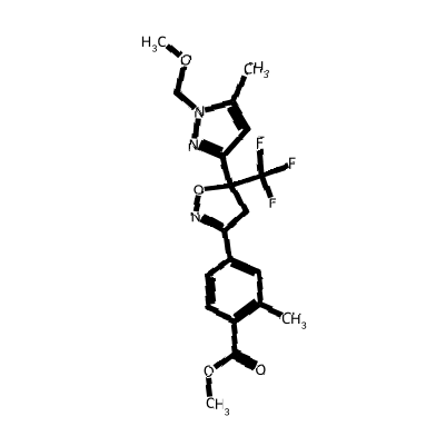 COCn1nc(C2(C(F)(F)F)CC(c3ccc(C(=O)OC)c(C)c3)=NO2)cc1C